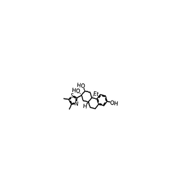 CC[C@@]12C[C@H](O)[C@](O)(c3nc(C)c(C)s3)C[C@H]1CCc1cc(O)ccc12